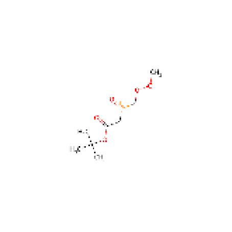 COOC[PH](=O)CC(=O)OC(C)(C)C